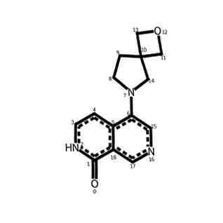 O=c1[nH]ccc2c(N3CCC4(COC4)C3)cncc12